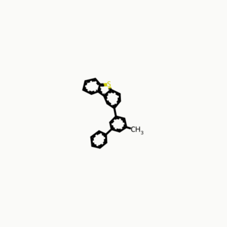 Cc1cc(-c2ccccc2)cc(-c2ccc3sc4ccccc4c3c2)c1